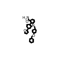 NC(=O)c1cccc2c1c1[c]cc(-c3ccco3)cc1n2Cc1ccc(OCc2ccccc2)cc1